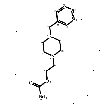 NC(=O)OCCN1CCN(Cc2ccccc2)CC1